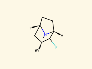 CC(C)[C@H]1C[C@@H]2CC[C@H](C1F)N2C